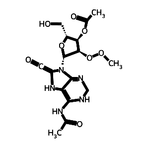 COO[C@@H]1[C@H](OC(C)=O)[C@@H](CO)O[C@H]1N1C(=C=O)NC2=C(NC(C)=O)NCN=C21